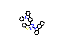 c1ccc(-n2c3ccccc3c3ccc(-c4nc(-n5c6ccccc6c6cc7ccccc7cc65)nc5sc6ccccc6c45)cc32)cc1